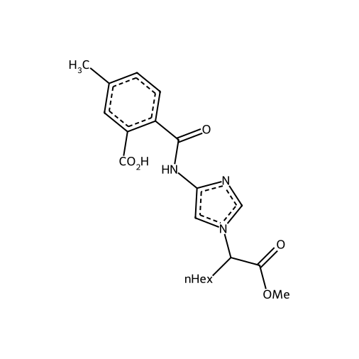 CCCCCCC(C(=O)OC)n1cnc(NC(=O)c2ccc(C)cc2C(=O)O)c1